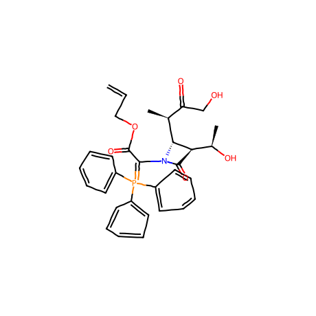 C=CCOC(=O)C(N1C(=O)[C@H]([C@@H](C)O)[C@H]1[C@@H](C)C(=O)CO)=P(c1ccccc1)(c1ccccc1)c1ccccc1